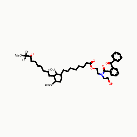 CCCCCCCCC1C(CCCCCCCC(=O)OCCN(CCO)C(=O)c2ccccc2C(=O)c2ccccc2)CCC(CCCCCC)C1CCCCCCCC(=O)C(CC)(CC)OC